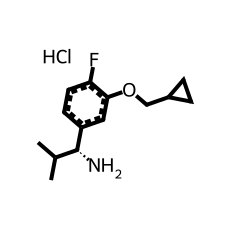 CC(C)[C@@H](N)c1ccc(F)c(OCC2CC2)c1.Cl